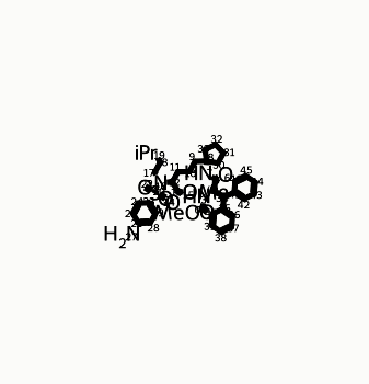 COC(=O)N[C@H](C(=O)NC1(CCCC(C(=O)OC)N(CCC(C)C)S(=O)(=O)c2ccc(N)cc2)CCCC1)C(c1ccccc1)c1ccccc1